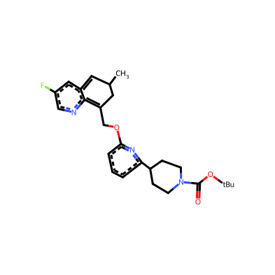 CC1C=c2cc(F)cnc2=C(COc2cccc(C3CCN(C(=O)OC(C)(C)C)CC3)n2)C1